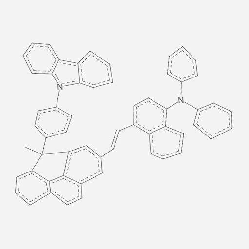 CC1(c2ccc(-n3c4ccccc4c4ccccc43)cc2)c2cccc3ccc4cc(/C=C/c5ccc(N(c6ccccc6)c6ccccc6)c6ccccc56)cc1c4c23